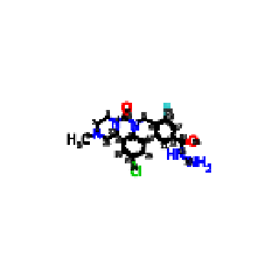 CN1CCN(C(=O)N(Cc2ccc(C(=O)NN)cc2F)c2ccc(Cl)cc2)CC1